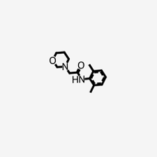 Cc1cccc(C)c1NC(=O)CN1CCCOC1